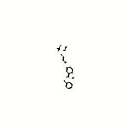 C[C@@H](Nc1ncnc2ccc(NC(=O)/C=C/CN3CC(=O)OCC3(C)C)cc12)c1ccccc1